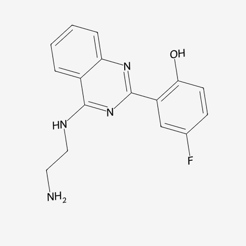 NCCNc1nc(-c2cc(F)ccc2O)nc2ccccc12